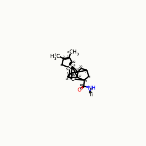 CC1=C(C)C[Si](C2C3CC4(C(=O)[NH][Ti])CC25C2C46C4C6(C3)C245)=C1